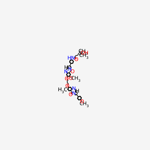 COc1ccc(C2=CN3C(=O)c4cc(C)c(OCCCOc5cc6c(cc5OC)C(=O)N5C=C(c7ccc(NC(=O)CCC[Si](C)(C)O)cc7)C[C@H]5C=N6)cc4N=C[C@@H]3C2)cc1